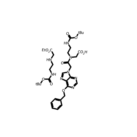 CC(C)(C)OC(=O)NCCN(CC(=O)O)C(=O)Cn1cnc2c(OCc3ccccc3)ncnc21.CCOC(=O)CNCCNC(=O)OC(C)(C)C